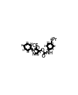 CC(C)c1ccc(NC(=O)Oc2cnn(-c3ccccc3)c2C(F)(F)F)cc1